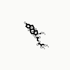 CCC(C)C(=O)OCC(=O)O[C@H]1[C@@H](CC)C[C@H]2[C@@H]3CCC4=CC(=O)CC[C@@H]4[C@H]3CC[C@@]21C